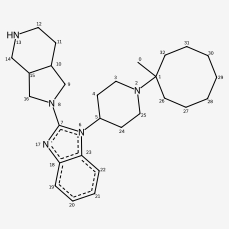 CC1(N2CCC(n3c(N4CC5CCNCC5C4)nc4ccccc43)CC2)CCCCCCC1